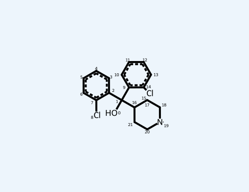 OC(c1ccccc1Cl)(c1ccccc1Cl)C1CC[N]CC1